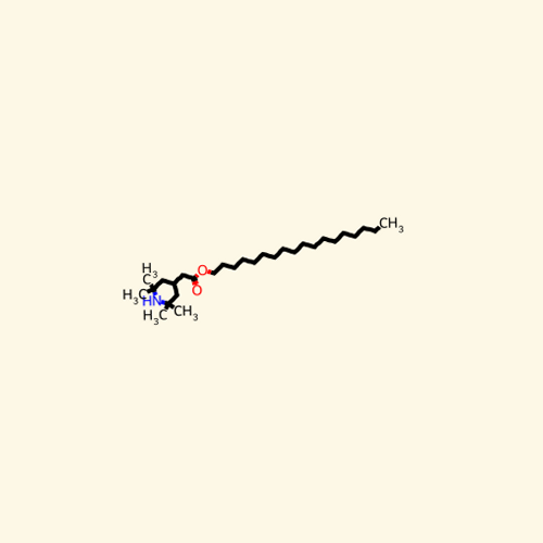 CCCCCCCCCCCCCCCCCCOC(=O)CC1CC(C)(C)NC(C)(C)C1